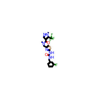 CN(Cc1csc(NC(=O)NCc2cccc(F)c2)n1)C(=O)c1cnn(C)c1C(F)(F)F